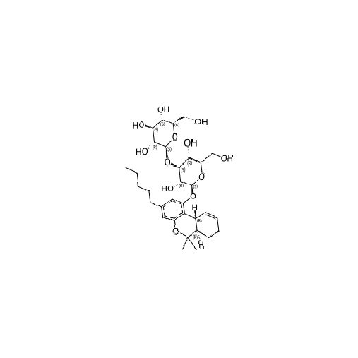 CCCCCc1cc(O[C@@H]2OC(CO)[C@@H](O)[C@H](O[C@@H]3O[C@H](CO)[C@@H](O)[C@H](O)[C@H]3O)[C@H]2O)c2c(c1)OC(C)(C)[C@@H]1CCC=C[C@@H]21